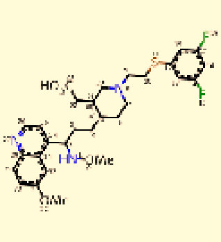 CONC(CC[C@@H]1CCN(CCSc2cc(F)cc(F)c2)C[C@@H]1CC(=O)O)c1ccnc2ccc(OC)cc12